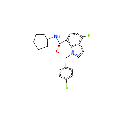 O=C(NC1CCCCC1)c1ccc(F)c2ccn(Cc3ccc(F)cc3)c12